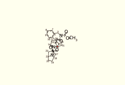 COC(=O)N1Cc2ccccc2C2(CCN(C3CC4CCC(C3)N4C(=O)O[C@H]3CCOC3)CC2)C1